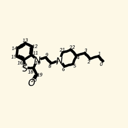 CCCCC1CCN(CCN2c3ccccc3SC2C=O)CC1